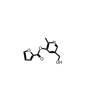 Cc1ncc(CO)cc1OC(=O)c1ccco1